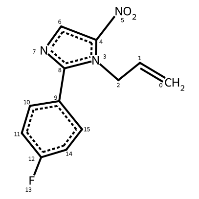 C=CCn1c([N+](=O)[O-])cnc1-c1ccc(F)cc1